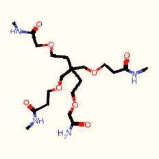 CNC(=O)CCOCC(CCOCC(N)=O)(CCOCC(=O)NC)COCCC(=O)NC